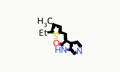 CCc1sc(C=C2C(=O)Nc3cnccc32)cc1C